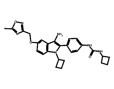 Cc1nc(COc2ccc3c(c2)c(N)c(-c2ccc(NC(=O)NC4CCC4)cc2)n3C2CCC2)no1